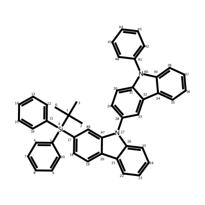 CC(C)(C)[Si](c1ccccc1)(c1ccccc1)c1ccc2c3ccccc3n(-c3ccc4c(c3)c3ccccc3n4-c3ccccc3)c2c1